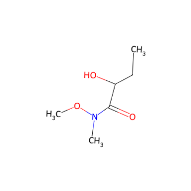 CCC(O)C(=O)N(C)OC